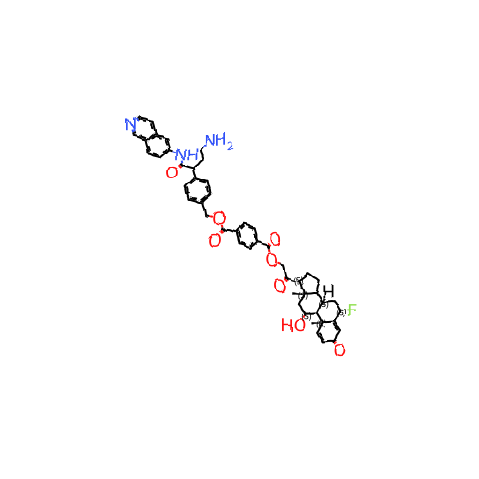 C[C@]12C=CC(=O)C=C1[C@@H](F)C[C@@H]1C2[C@@H](O)C[C@@]2(C)C1CC[C@@H]2C(=O)COC(=O)c1ccc(C(=O)OCc2ccc(C(CCN)C(=O)Nc3ccc4cnccc4c3)cc2)cc1